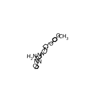 COc1ccc(OCC2CCC3CN(c4cc5nc(-c6ccco6)nn5c(N)n4)CCN3C2)cc1